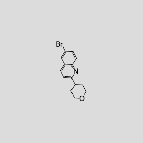 Brc1ccc2nc(C3CCOCC3)ccc2c1